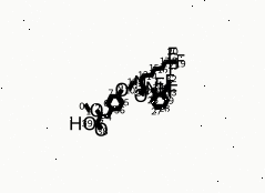 CCOC(Cc1ccc(OCCN(CCCCCC(F)(F)F)C(=O)Nc2ccccc2C(F)(F)F)cc1)C(=O)O